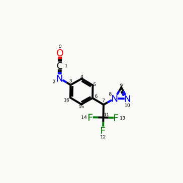 O=C=Nc1ccc(C(N2C=N2)C(F)(F)F)cc1